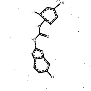 N#Cc1ccc(NC(=O)Nc2nc3ccc(Cl)cc3s2)c(Cl)c1